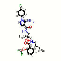 CC(C)(C)CCCN(CC(O)(CNC(=O)c1cnn(-c2ccc(F)cc2)c1N)C(F)(F)F)C(=O)c1ccccc1OC(F)F